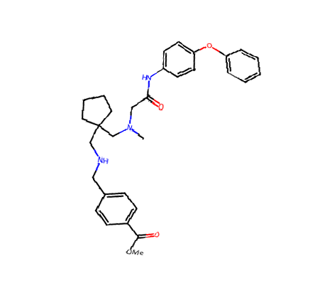 COC(=O)c1ccc(CNCC2(CN(C)CC(=O)Nc3ccc(Oc4ccccc4)cc3)CCCC2)cc1